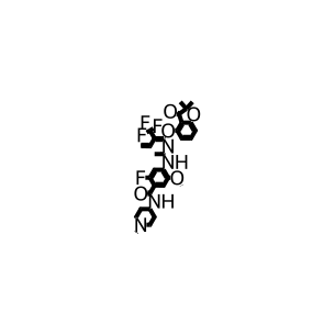 C=C/C(=C(\N=C(/C)Nc1cc(F)c(C(=O)NC2CCN(C)CC2)cc1OC)Oc1cccc2c1C(=O)C(C)(C)O2)C(F)(F)F